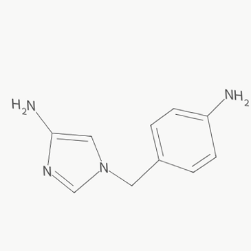 Nc1ccc(Cn2cnc(N)c2)cc1